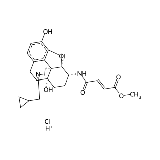 COC(=O)/C=C/C(=O)N[C@@H]1CC[C@@]2(O)C3Cc4ccc(O)c5c4[C@@]2(CCN3CC2CC2)[C@H]1O5.[Cl-].[H+]